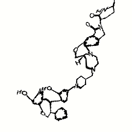 COc1cc(N2CCC(CN3CCN4c5cc6c(cc5OC[C@H]4C3)C(=O)N(C3CCC(=O)NC3=O)C6)CC2)ccc1[C@@H]1c2ccc(O)cc2OC[C@@H]1c1ccccc1